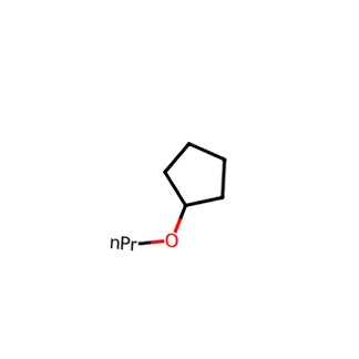 C[CH]COC1CCCC1